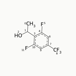 CC(O)c1c(F)cc(C(F)(F)F)cc1F